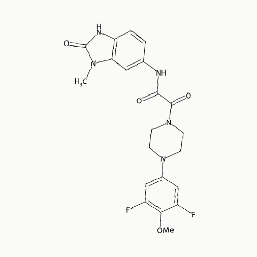 COc1c(F)cc(N2CCN(C(=O)C(=O)Nc3ccc4[nH]c(=O)n(C)c4c3)CC2)cc1F